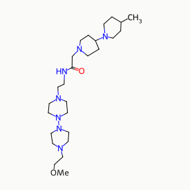 COCCN1CCN(N2CCN(CCNC(=O)CN3CCC(N4CCC(C)CC4)CC3)CC2)CC1